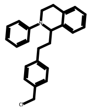 ClCc1ccc(CCC2c3ccccc3CCN2c2ccccc2)cc1